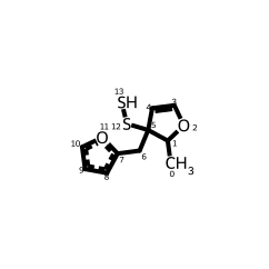 CC1OC=CC1(Cc1ccco1)SS